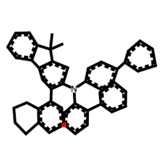 CC1(C)c2ccccc2-c2cc(-c3cccc4c3CCCC4)c(N(c3ccc(-c4ccccc4)cc3)c3ccccc3-c3ccccc3)cc21